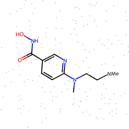 CNCCN(C)c1ccc(C(=O)NO)cn1